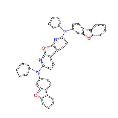 c1ccc(N(c2ccc3c(c2)oc2ccccc23)c2ccc3c(n2)oc2nc(N(c4ccccc4)c4ccc5c(c4)oc4ccccc45)ccc23)cc1